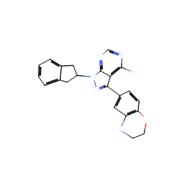 Nc1ncnc2c1c(-c1ccc3c(c1)NCCO3)nn2C1Cc2ccccc2C1